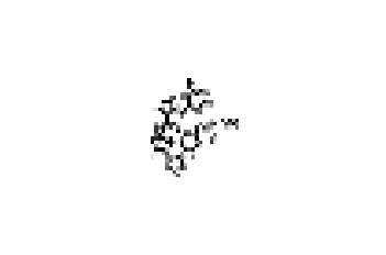 CNC(=O)Oc1ccc(N2CCC[C@@H]2c2csc(NC(=O)c3cccn3Cc3ccnc(F)c3)n2)cc1